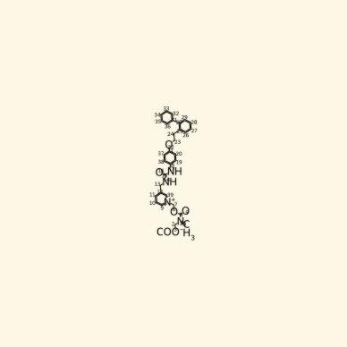 CN(CC(=O)[O-])C(=O)OC[n+]1cccc(CNC(=O)Nc2ccc(OCCc3ccccc3-c3ccccc3)cc2)c1